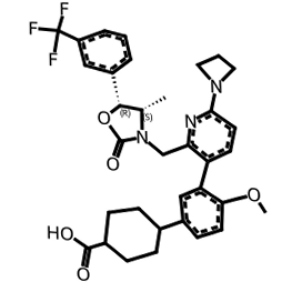 COc1ccc(C2CCC(C(=O)O)CC2)cc1-c1ccc(N2CCC2)nc1CN1C(=O)O[C@H](c2cccc(C(F)(F)F)c2)[C@@H]1C